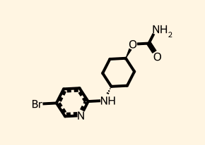 NC(=O)O[C@H]1CC[C@H](Nc2ccc(Br)cn2)CC1